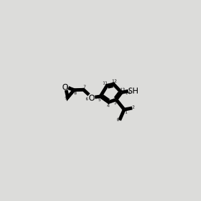 CC(C)c1cc(OCC2CO2)ccc1S